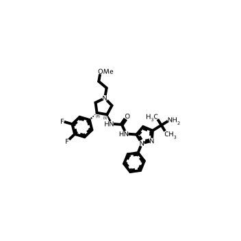 COCCN1C[C@@H](NC(=O)Nc2cc(C(C)(C)N)nn2-c2ccccc2)[C@H](c2ccc(F)c(F)c2)C1